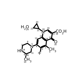 Cc1c(F)c(N2CCN[C@H](C)C2)cc2c1c(=O)c(C(=O)O)cn2C1CC1.O